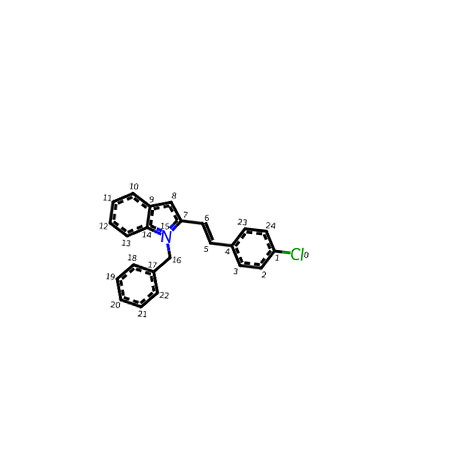 Clc1ccc(C=Cc2cc3ccccc3n2Cc2ccccc2)cc1